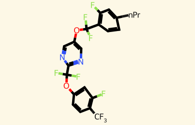 CCCc1ccc(C(F)(F)Oc2cnc(C(F)(F)Oc3ccc(C(F)(F)F)c(F)c3)nc2)c(F)c1